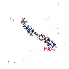 C[C@H](O)c1nccn1Cc1cc(-c2ccc(C#Cc3ccc(CNCC4CCO4)nc3)cc2)on1